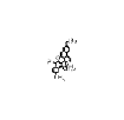 Cc1ccc2c(C(C)C)c3c(c(C)c2c1)-c1c2c(cc4cc(CC(C)(C)C)ccc4c2cc[n+]1C)O3